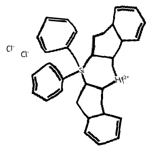 C1=CC2CC3[CH]([Hf+2][CH]4C5C=CC=CC5CC4[Si]3(c3ccccc3)c3ccccc3)C2C=C1.[Cl-].[Cl-]